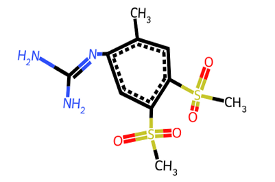 Cc1cc(S(C)(=O)=O)c(S(C)(=O)=O)cc1N=C(N)N